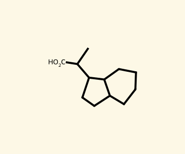 CC(C(=O)O)C1CCC2CCCCC21